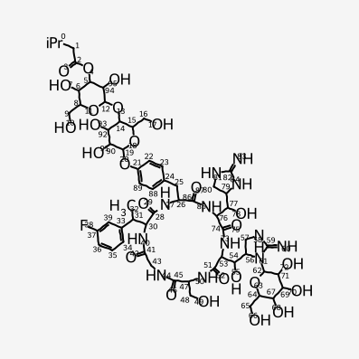 CC(C)CC(=O)OC1C(O)C(CO)OC(OC2C(CO)OC(Oc3ccc(CC4NC(=O)C(C(C)c5cccc(F)c5)NC(=O)CNC(=O)C(CO)NC(=O)C(C(O)C5CNC(=N)N5C5OC(CO)C(O)C(O)C5O)NC(=O)C(C(O)C5CNC(=N)N5)NC4=O)cc3)C(O)C2O)C1O